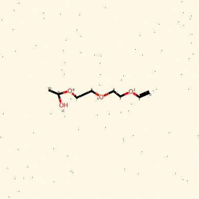 C=COCCOCCOC(C)O